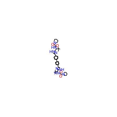 CC(C)(C)[C@H](NC(=O)C(=O)N1CCCCC1)c1nc(-c2ccc(-c3ccc(-c4c[nH]c([C@@H](NC(=O)C(=O)N5CCCCC5)C(C)(C)C)n4)cc3)cc2)c[nH]1